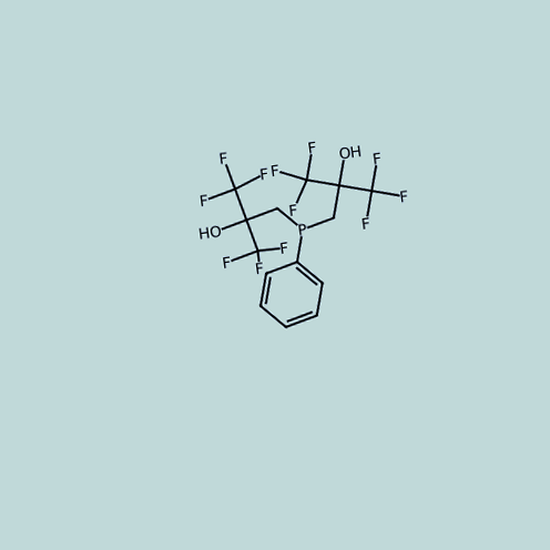 OC(CP(CC(O)(C(F)(F)F)C(F)(F)F)c1ccccc1)(C(F)(F)F)C(F)(F)F